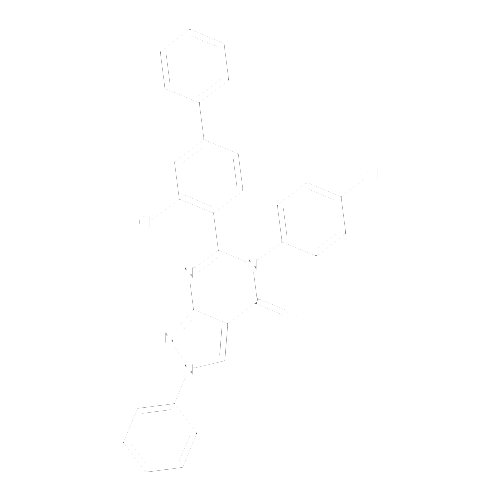 O=c1c2cn(-c3ccccc3)nc2nc(-c2ccc(-c3ccccc3)cc2Cl)n1-c1ccc(Cl)cc1